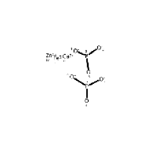 [Ca+2].[Fe+2].[O-]P([O-])[O-].[O-]P([O-])[O-].[Zn+2]